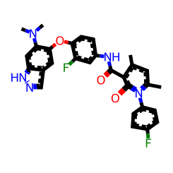 Cc1cc(C)n(-c2ccc(F)cc2)c(=O)c1C(=O)Nc1ccc(Oc2cc3cn[nH]c3cc2N(C)C)c(F)c1